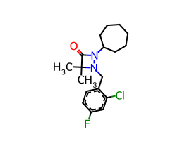 CC1(C)C(=O)N(C2CCCCCC2)N1Cc1ccc(F)cc1Cl